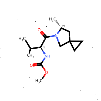 COC(=O)N[C@H](C(=O)N1CC2(CC2)C[C@H]1C)C(C)C